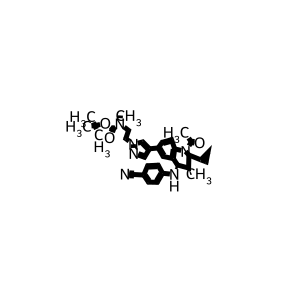 CC(=O)N1c2ccc(-c3cnn(CCN(C)C(=O)OC(C)(C)C)c3)cc2[C@H](Nc2ccc(C#N)cc2)[C@@H](C)C1C1CC1